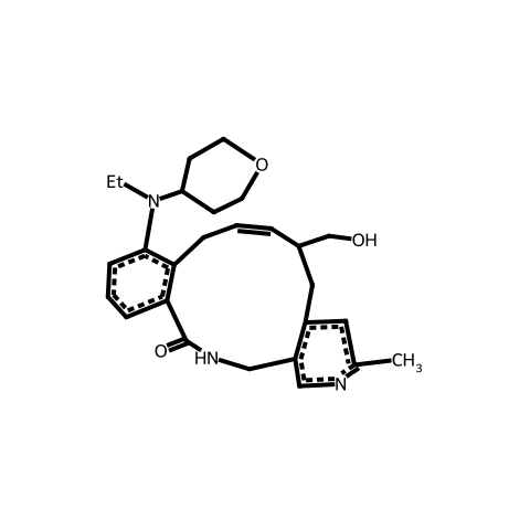 CCN(c1cccc2c1C/C=C\C(CO)Cc1cc(C)ncc1CNC2=O)C1CCOCC1